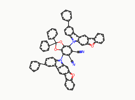 N#Cc1c(C#N)c(-n2c3ccc(-c4ccccc4)cc3c3cc4c(cc32)oc2ccccc24)c2c(c1-n1c3ccc(-c4ccccc4)cc3c3cc4c(cc31)oc1ccccc14)OC(c1ccccc1)(c1ccccc1)O2